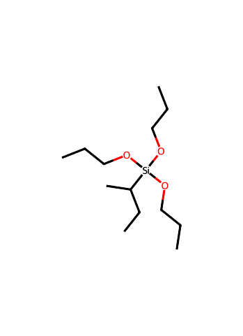 CCCO[Si](OCCC)(OCCC)C(C)CC